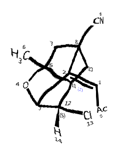 CC(=O)/C=C1\C2OC3(C)CC1(C#N)CC3[C@@H]2Cl